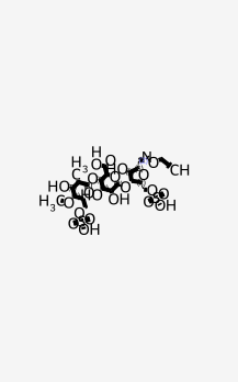 C#CCO/N=C\[C@@H]1O[C@H](COS(=O)(=O)O)C(O[C@@H]2OC(C(=O)O)[C@@H](O[C@H]3OC(COS(=O)(=O)O)[C@@H](OC)[C@H](O)C3C)[C@H](O)C2O)[C@@H]1O